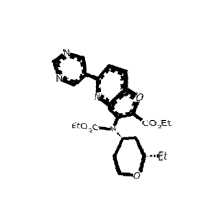 CCOC(=O)c1oc2ccc(-c3cncnc3)nc2c1N(C(=O)OCC)[C@H]1CCO[C@@H](CC)C1